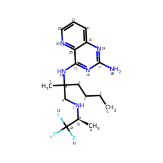 CCCCC(C)(CN[C@@H](C)C(F)(F)F)Nc1nc(N)nc2cccnc12